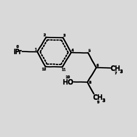 CC(C)c1ccc(CC(C)C(C)O)cc1